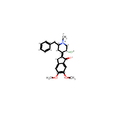 COc1cc2c(cc1OC)C(=O)C(=C1CCN(C)C(Cc3ccccc3)C1)C2.Cl